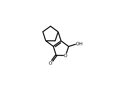 O=C1OC(O)C2=C1C1CCC2C1